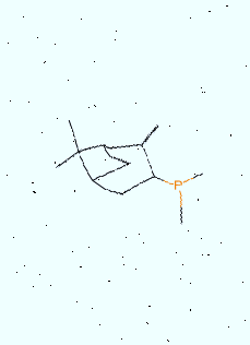 CC1C(P(C)C)CC2CC1C2(C)C